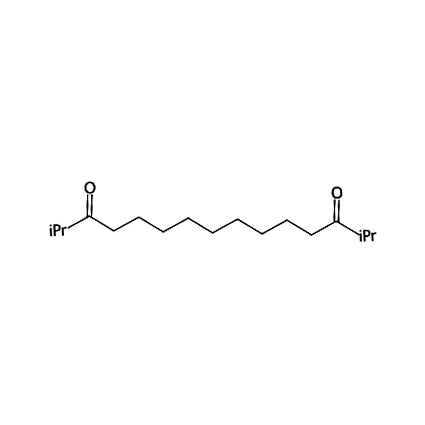 CC(C)C(=O)CCCCCCCCCC(=O)C(C)C